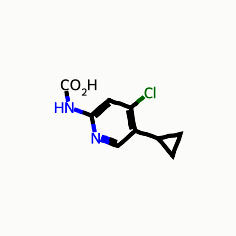 O=C(O)Nc1cc(Cl)c(C2CC2)cn1